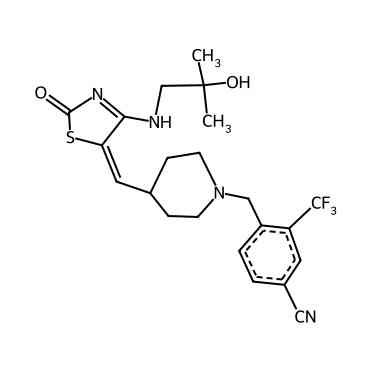 CC(C)(O)CNC1=NC(=O)SC1=CC1CCN(Cc2ccc(C#N)cc2C(F)(F)F)CC1